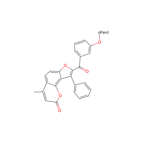 CCCCCOc1cccc(C(=O)c2oc3ccc4c(C)cc(=O)oc4c3c2-c2ccccc2)c1